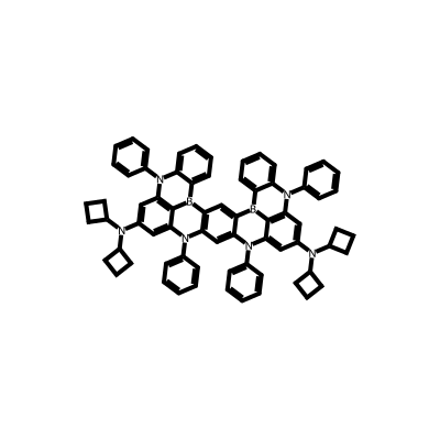 c1ccc(N2c3ccccc3B3c4cc5c(cc4N(c4ccccc4)c4cc(N(C6CCC6)C6CCC6)cc2c43)N(c2ccccc2)c2cc(N(C3CCC3)C3CCC3)cc3c2B5c2ccccc2N3c2ccccc2)cc1